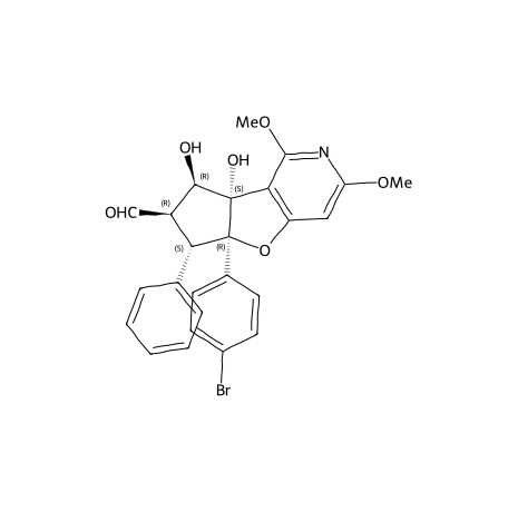 COc1cc2c(c(OC)n1)[C@]1(O)[C@H](O)[C@H](C=O)[C@@H](c3ccccc3)[C@]1(c1ccc(Br)cc1)O2